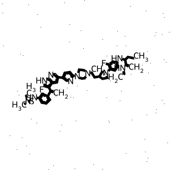 C=CNC(=C)C(CCC)Nc1ccc(N2CCC(CC(=C)N3CCN(c4ccc(-c5cnc6[nH]cc(C(=C)c7cccc(NSN(C)CC)c7F)c6c5)cn4)CC3)C2)c(F)c1